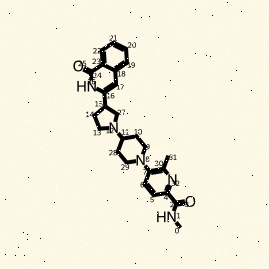 CNC(=O)c1ccc(N2CCC(N3CCC(c4cc5ccccc5c(=O)[nH]4)C3)CC2)c(C)n1